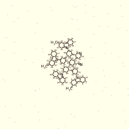 Cc1ccc2c(c1)c1ccccc1n2-c1ccc(-c2c(C#N)c(-c3ccncc3)c(-c3ccc(-n4c5ccccc5c5cc(C)ccc54)cc3)c(-c3ccc(-n4c5ccccc5c5cc(C)ccc54)cc3)c2-c2ccc(-n3c4ccccc4c4ccccc43)cc2)cc1